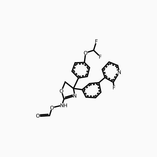 O=CONC1=NC(c2ccc(OC(F)F)cc2)(c2cccc(-c3cccnc3F)c2)CO1